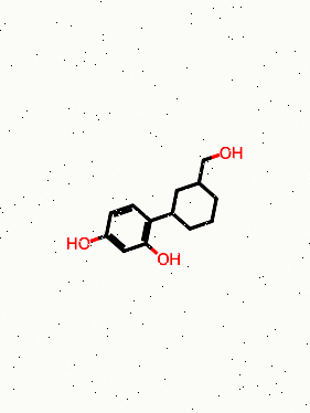 OCC1CCCC(c2ccc(O)cc2O)C1